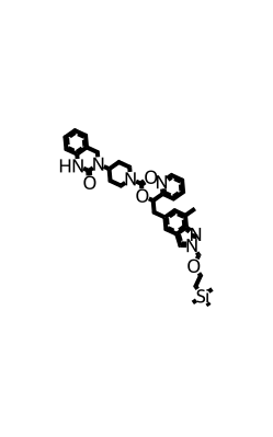 Cc1cc(CC(OC(=O)N2CCC(N3Cc4ccccc4NC3=O)CC2)c2ccccn2)cc2cn(COCC[Si](C)(C)C)nc12